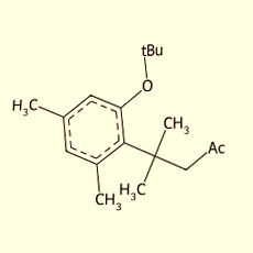 CC(=O)CC(C)(C)c1c(C)cc(C)cc1OC(C)(C)C